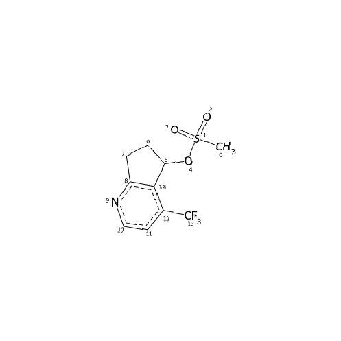 CS(=O)(=O)OC1CCc2nccc(C(F)(F)F)c21